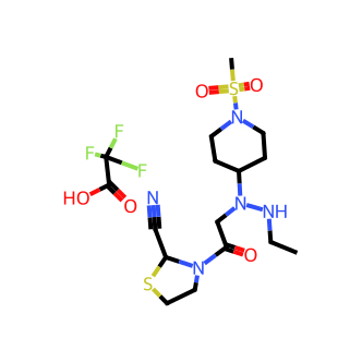 CCNN(CC(=O)N1CCSC1C#N)C1CCN(S(C)(=O)=O)CC1.O=C(O)C(F)(F)F